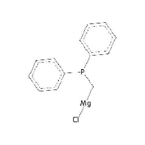 [Cl][Mg][CH2]P(c1ccccc1)c1ccccc1